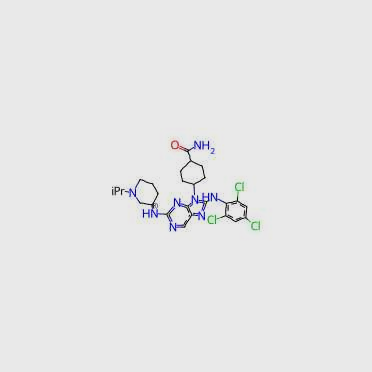 CC(C)N1CCC[C@@H](Nc2ncc3nc(Nc4c(Cl)cc(Cl)cc4Cl)n(C4CCC(C(N)=O)CC4)c3n2)C1